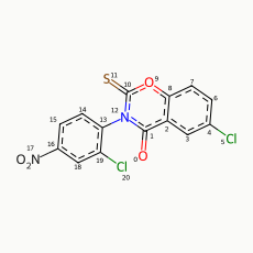 O=c1c2cc(Cl)ccc2oc(=S)n1-c1ccc([N+](=O)[O-])cc1Cl